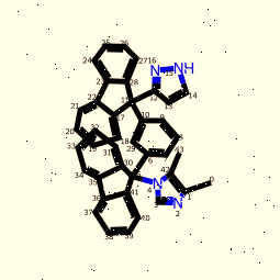 Cc1ncn(C2(c3cccc(C4(c5cc[nH]n5)c5ccccc5-c5ccccc54)c3)c3ccccc3-c3ccccc32)c1C